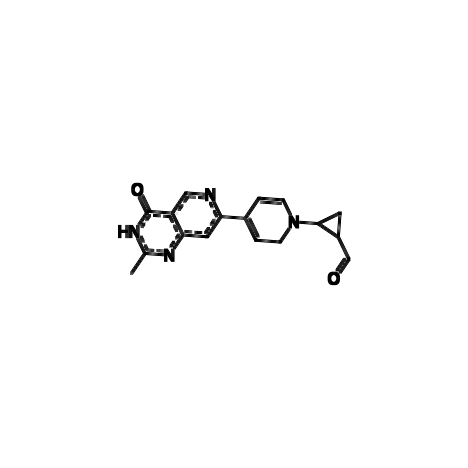 Cc1nc2cc(C3=CCN(C4CC4C=O)C=C3)ncc2c(=O)[nH]1